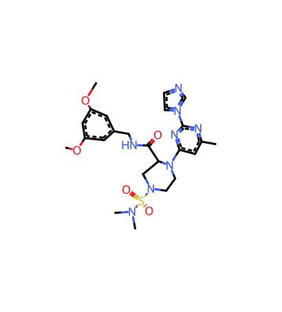 COc1cc(CNC(=O)C2CN(S(=O)(=O)N(C)C)CCN2c2cc(C)nc(-n3ccnc3)n2)cc(OC)c1